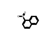 O=[N+]([O-])c1cc[c]c2ccccc12